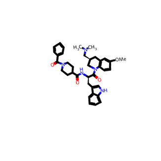 COc1ccc2c(c1)C[C@H](CN(C)C)CN2C(=O)[C@@H](Cc1c[nH]c2ccccc12)NC(=O)C1CCN(C(=O)c2ccccc2)CC1